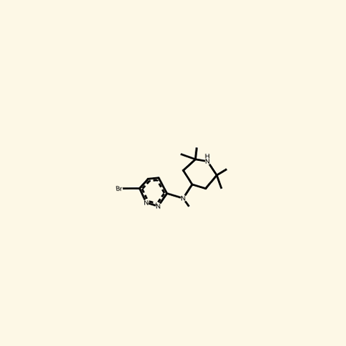 CN(c1ccc(Br)nn1)C1CC(C)(C)NC(C)(C)C1